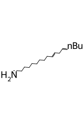 CCCCC=CCC=CCCCCCCCC[CH]N